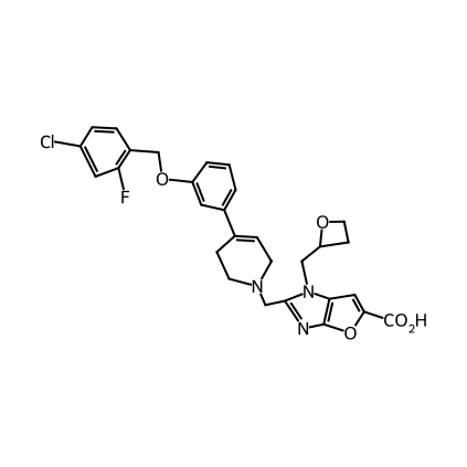 O=C(O)c1cc2c(nc(CN3CC=C(c4cccc(OCc5ccc(Cl)cc5F)c4)CC3)n2CC2CCO2)o1